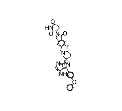 Nc1ncnc2c1c(-c1ccc(Oc3ccccc3)cc1)nn2[C@@H]1CCCN(Cc2cc3c(cc2F)C(=O)N(C2CCC(=O)NC2=O)C3)C1